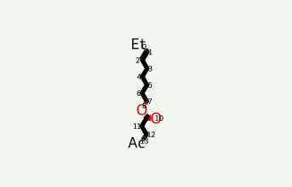 CCC=CCCCCCOC(=O)CCC(C)=O